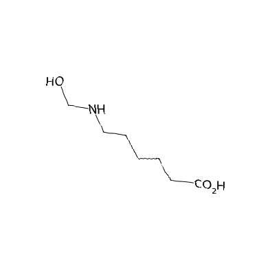 O=C(O)CCCCCNCO